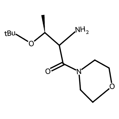 C[C@H](OC(C)(C)C)C(N)C(=O)N1CCOCC1